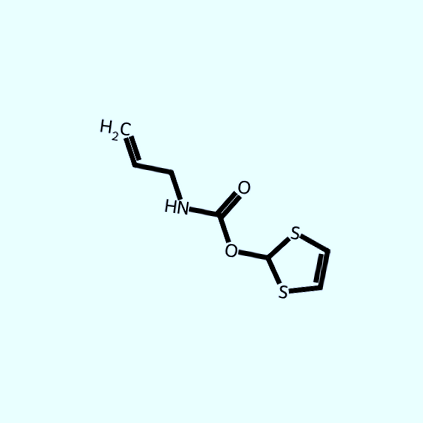 C=CCNC(=O)OC1SC=CS1